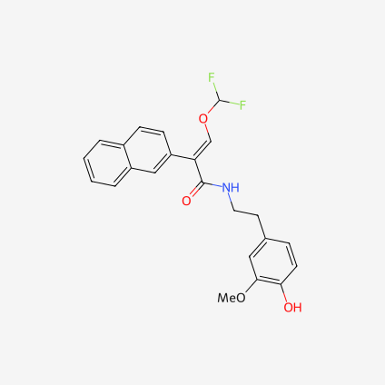 COc1cc(CCNC(=O)/C(=C/OC(F)F)c2ccc3ccccc3c2)ccc1O